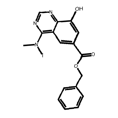 CN(I)c1ncnc2c(O)cc(C(=O)OCc3ccccc3)cc12